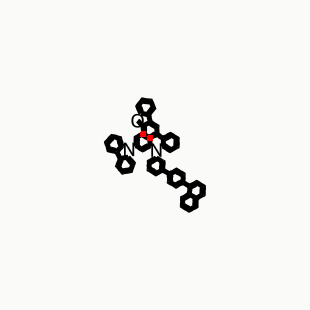 c1cc(-c2ccc(-c3cccc4ccccc34)cc2)cc(N(c2cccc(-n3c4ccccc4c4ccccc43)c2)c2ccccc2-c2ccc3oc4ccccc4c3c2)c1